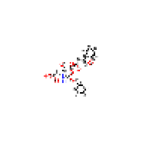 O=C(O)CC(NC(=O)OCc1ccccc1)C(=O)COC(=O)Cc1coc2ccccc12